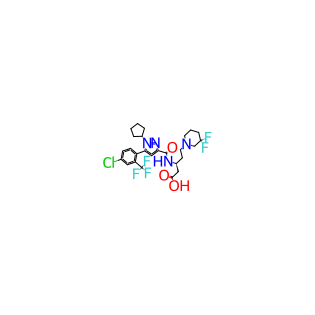 O=C(O)C[C@H](CCN1CCCC(F)(F)C1)NC(=O)c1cc(-c2ccc(Cl)cc2C(F)(F)F)n(C2CCCC2)n1